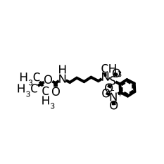 CN(CCCCCNC(=O)OC(C)(C)C)S(=O)(=O)c1ccccc1[N+](=O)[O-]